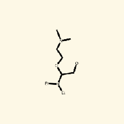 CCN(CC)C(C[O])OCCN(C)C